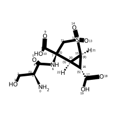 N[C@@H](CO)C(=O)N[C@@]1(C(=O)O)CS(=O)(=O)[C@H]2[C@H](C(=O)O)[C@H]21